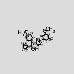 COc1cc(F)cc(-n2ccc(N(C3CCN(C)CC3)C(O)c3cccs3)n2)c1